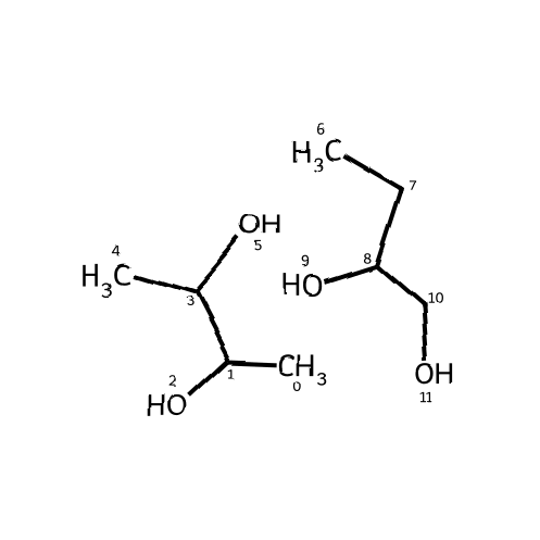 CC(O)C(C)O.CCC(O)CO